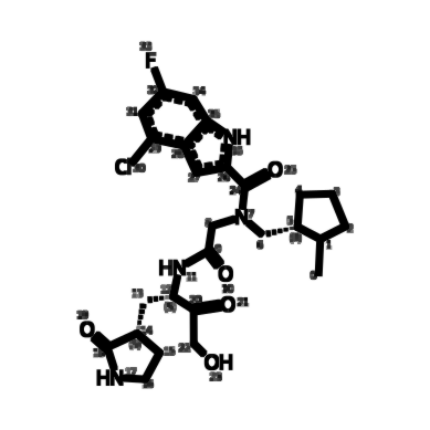 CC1CCC[C@H]1CN(CC(=O)N[C@@H](C[C@@H]1CCNC1=O)C(=O)CO)C(=O)c1cc2c(Cl)cc(F)cc2[nH]1